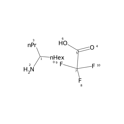 CCCCCCC(N)CCC.O=C(O)C(F)(F)F